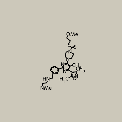 CNCCNCc1cccc(-c2nc(-c3c(C)noc3C)c(C)c(N3CCN(C(=S)SCCOC)CC3)n2)c1